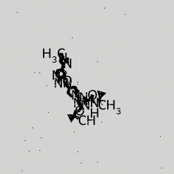 C#CC1(COc2nc(C(=O)N[C@@H](C)C3CC3)nc(N3CCC(COc4cc(-c5cn(C)cn5)cnc4N)CC3)n2)CC1